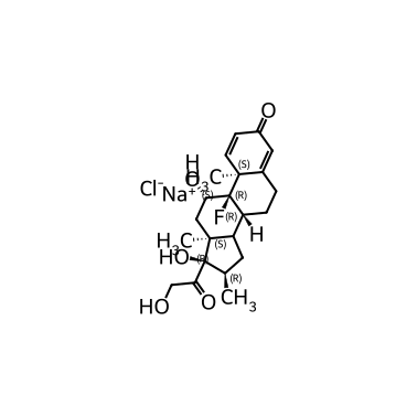 C[C@@H]1CC2[C@H]3CCC4=CC(=O)C=C[C@]4(C)[C@@]3(F)[C@@H](O)C[C@]2(C)[C@@]1(O)C(=O)CO.[Cl-].[Na+]